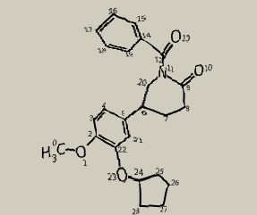 COc1ccc(C2CCC(=O)N(C(=O)c3ccccc3)C2)cc1OC1CCCC1